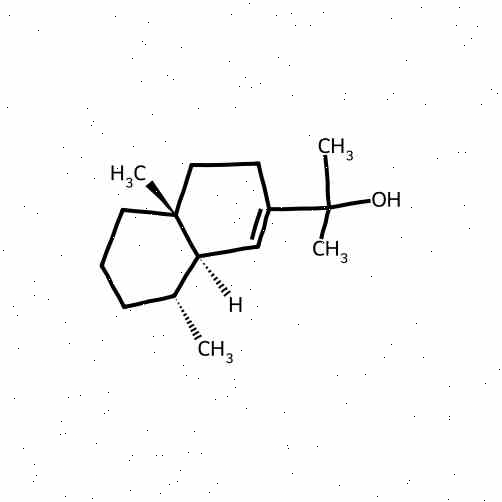 C[C@@H]1CCC[C@]2(C)CCC(C(C)(C)O)=C[C@@H]12